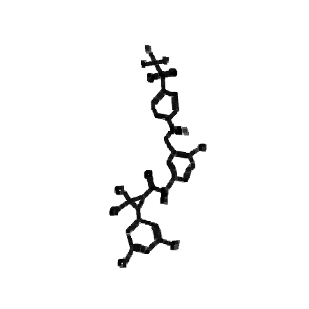 O=C(Nc1ccc(Cl)c(CNc2ccc(S(=O)(=O)C(F)(F)F)cc2)c1)C1C(c2cc(Cl)cc(Cl)c2)C1(Cl)Cl